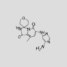 Cc1cc(Nc2cc(N)ncn2)c(=O)n2c1C(=O)NC21CCOCC1